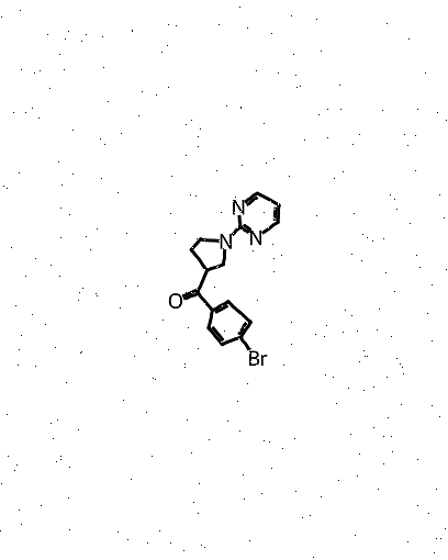 O=C(c1ccc(Br)cc1)C1CCN(c2ncccn2)C1